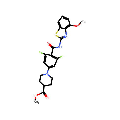 COC(=O)C1CCN(c2cc(F)c(C(=O)Nc3nc4c(OC)cccc4s3)c(F)c2)CC1